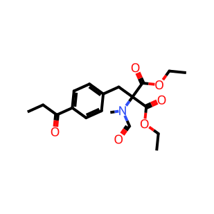 CCOC(=O)C(Cc1ccc(C(=O)CC)cc1)(C(=O)OCC)N(C)C=O